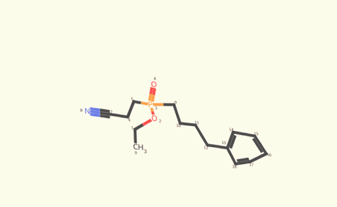 CCOP(=O)(CCC#N)CCCCc1ccccc1